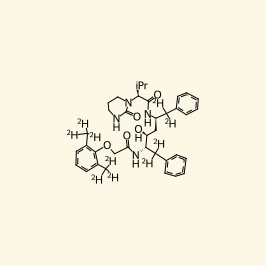 [2H]C([2H])([2H])c1cccc(C([2H])([2H])[2H])c1OCC(=O)N[C@H]([C@@H](O)C[C@@H](NC(=O)[C@H](C(C)C)N1CCCNC1=O)C([2H])([2H])c1ccccc1)C([2H])([2H])c1ccccc1